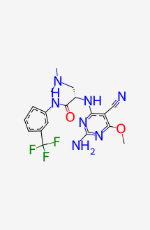 COc1nc(N)nc(N[C@@H](CN(C)C)C(=O)Nc2cccc(C(F)(F)F)c2)c1C#N